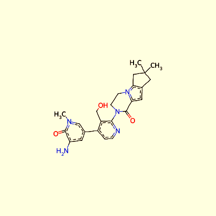 Cn1cc(-c2ccnc(N3CCn4c(cc5c4CC(C)(C)C5)C3=O)c2CO)cc(N)c1=O